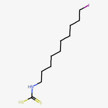 S=C(S)NCCCCCCCCCCI